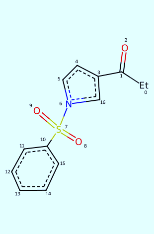 CCC(=O)c1ccn(S(=O)(=O)c2ccccc2)c1